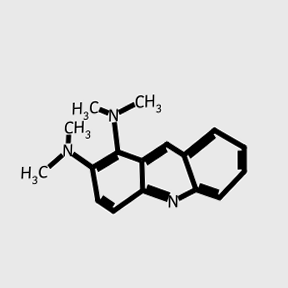 CN(C)c1ccc2nc3ccccc3cc2c1N(C)C